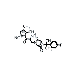 CC1[C@@H](C)C[C@@H](C#N)N1C(=O)C(N)CN1CC2CC1C(=O)N2C(C)(C)c1ccc(F)cc1